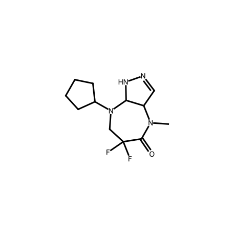 CN1C(=O)C(F)(F)CN(C2CCCC2)C2NN=CC21